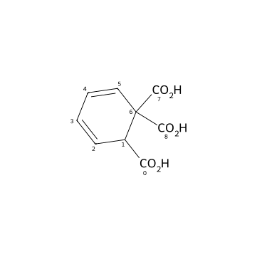 O=C(O)C1C=CC=CC1(C(=O)O)C(=O)O